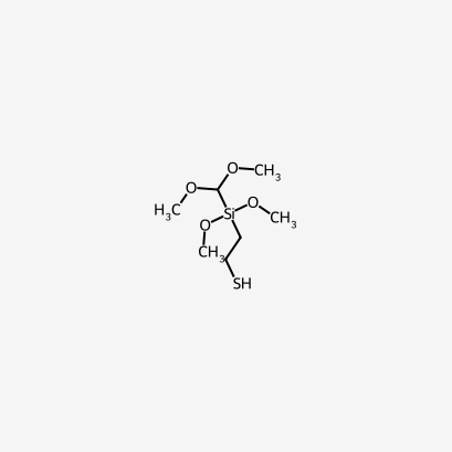 COC(OC)[Si](CCS)(OC)OC